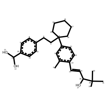 Cc1cc(C2(CCc3ccc(C(O)O)cc3)CCCCC2)ccc1C=CC(O)C(C)(C)C